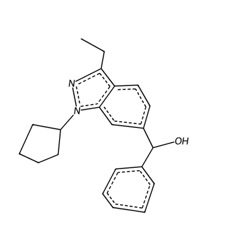 CCc1nn(C2CCCC2)c2cc(C(O)c3ccccc3)ccc12